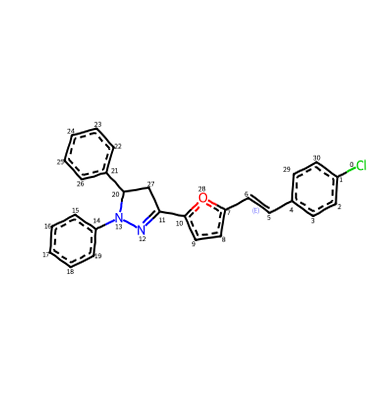 Clc1ccc(/C=C/c2ccc(C3=NN(c4ccccc4)C(c4ccccc4)C3)o2)cc1